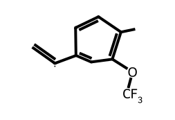 C=[C]c1ccc(C)c(OC(F)(F)F)c1